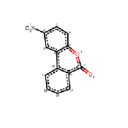 O=c1oc2ccc([N+](=O)[O-])cc2c2ccccc12